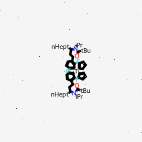 CCCCCCCC(CCc1ccc(F)[c]([Ti]([C]2=CC=CC2)([C]2=CC=CC2)[c]2c(F)ccc(CCC(CCCCCCC)N(C(=O)C(C)(C)C)C(C)C)c2F)c1F)N(C(=O)C(C)(C)C)C(C)C